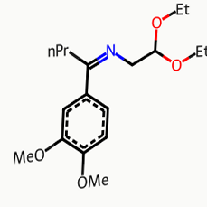 CCC/C(=N/CC(OCC)OCC)c1ccc(OC)c(OC)c1